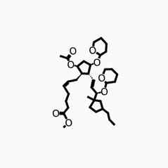 CCCC1CCC(C)([C@@H](/C=C/[C@@H]2[C@@H](C/C=C\CCCC(=O)OC)[C@@H](OC(C)=O)C[C@H]2OC2CCCCO2)OC2CCCCO2)C1